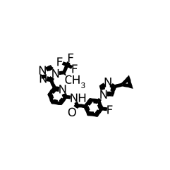 C[C@H](n1cnnc1-c1cccc(NC(=O)c2ccc(F)c(-n3cnc(C4CC4)c3)c2)n1)C(F)(F)F